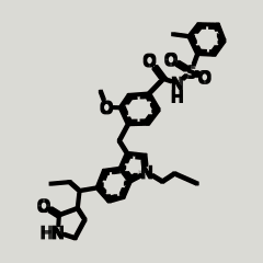 CCCn1cc(Cc2ccc(C(=O)NS(=O)(=O)c3ccccc3C)cc2OC)c2cc(C(CC)C3CCNC3=O)ccc21